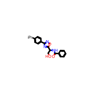 CC(C)c1ccc(-c2noc(C(CO)NC(=O)c3ccccc3)n2)cc1